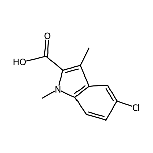 Cc1c(C(=O)O)n(C)c2ccc(Cl)cc12